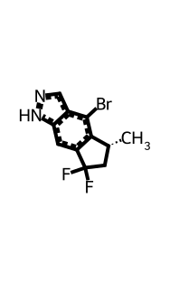 C[C@@H]1CC(F)(F)c2cc3[nH]ncc3c(Br)c21